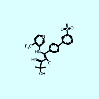 CC(C)(O)C(=N)/C(Cl)=C(\Nc1cnccc1C(F)(F)F)c1ccc(-c2cccc(S(C)(=O)=O)c2)cc1